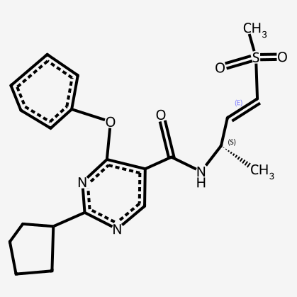 C[C@@H](/C=C/S(C)(=O)=O)NC(=O)c1cnc(C2CCCC2)nc1Oc1ccccc1